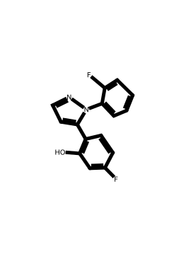 Oc1cc(F)ccc1-c1ccnn1-c1ccccc1F